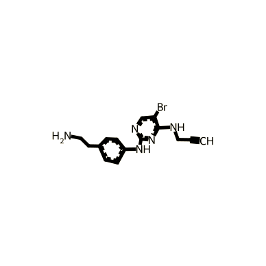 C#CCNc1nc(Nc2ccc(CCN)cc2)ncc1Br